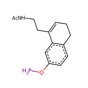 CC(=O)NCCC1=CCCc2ccc(OP)cc21